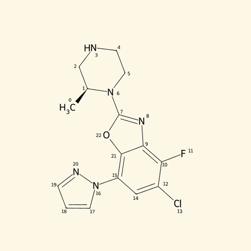 C[C@H]1CNCCN1c1nc2c(F)c(Cl)cc(-n3cccn3)c2o1